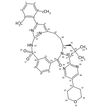 Cc1cccc(C)c1-c1cc2nc(n1)NS(=O)(=O)c1cccc(c1)C(=O)N(Cc1ncc(C3CCOCC3)cn1)[C@H](CC(C)(C)C)CC2